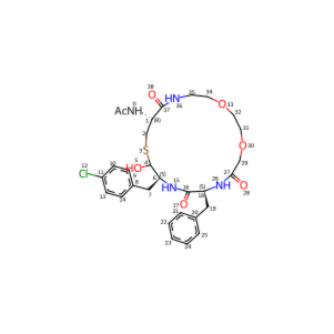 CC(=O)N[C@H]1CSC(O)[C@H](Cc2ccc(Cl)cc2)NC(=O)[C@H](Cc2ccccc2)NC(=O)COCCOCCNC1=O